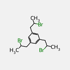 CC(Br)Cc1cc(CC(C)Br)cc(CC(C)Br)c1